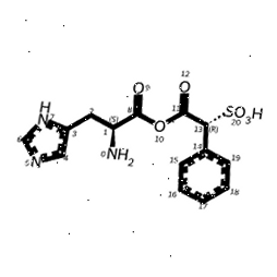 N[C@@H](Cc1cnc[nH]1)C(=O)OC(=O)[C@@H](c1ccccc1)S(=O)(=O)O